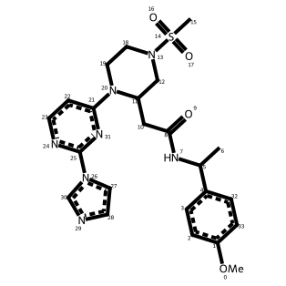 COc1ccc(C(C)NC(=O)CC2CN(S(C)(=O)=O)CCN2c2ccnc(-n3ccnc3)n2)cc1